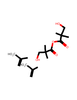 C=C(C)C(=O)O.C=C(C)C(=O)O.CC(C)(CO)C(=O)OC(=O)C(C)(C)CO